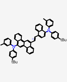 Cc1cccc(N(c2ccc(C(C)(C)C)cc2)c2ccc(/C=C/c3cc4c5ccccc5c(N(c5ccc(C(C)(C)C)cc5)c5cccc(C)c5)cc4c4ccccc34)c3ccccc23)c1